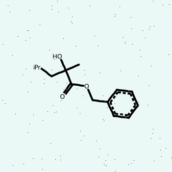 CC(C)CC(C)(O)C(=O)OCc1ccccc1